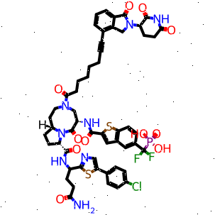 NC(=O)CCC(NC(=O)[C@@H]1CC[C@@H]2CCN(C(=O)CCCCCC#Cc3cccc4c3CN(C3CCC(=O)NC3=O)C4=O)C[C@H](NC(=O)c3cc4cc(C(F)(F)P(=O)(O)O)ccc4s3)C(=O)N21)c1ncc(-c2ccc(Cl)cc2)s1